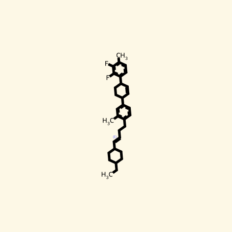 CCC1CCC(/C=C/CCc2ccc(C3C=CC(c4ccc(C)c(F)c4F)CC3)cc2C)CC1